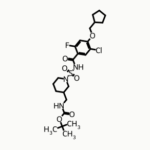 CC(C)(C)OC(=O)NCC1CCCN(S(=O)(=O)NC(=O)c2cc(Cl)c(OCC3CCCC3)cc2F)C1